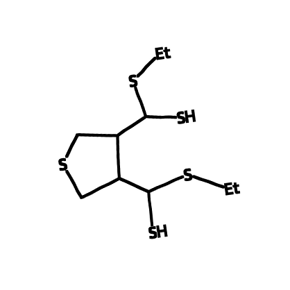 CCSC(S)C1CSCC1C(S)SCC